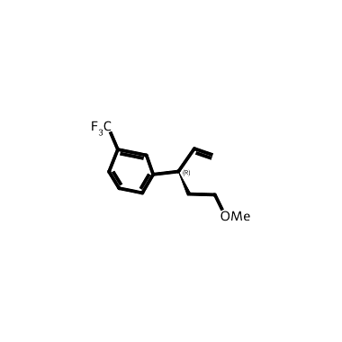 C=C[C@@H](CCOC)c1cccc(C(F)(F)F)c1